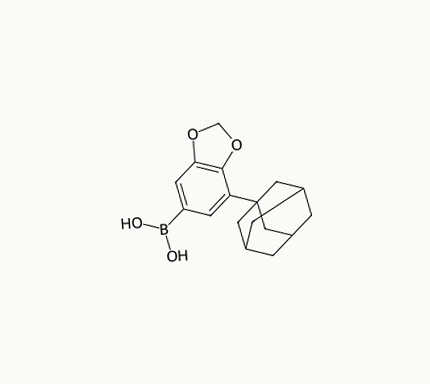 OB(O)c1cc2c(c(C34CC5CC(CC(C5)C3)C4)c1)OCO2